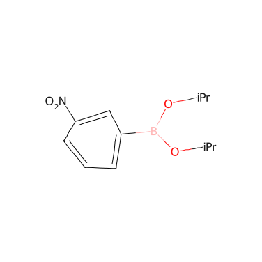 CC(C)OB(OC(C)C)c1cccc([N+](=O)[O-])c1